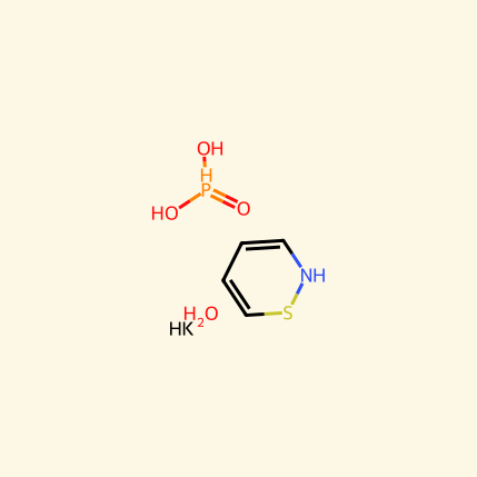 C1=CNSC=C1.O.O=[PH](O)O.[KH]